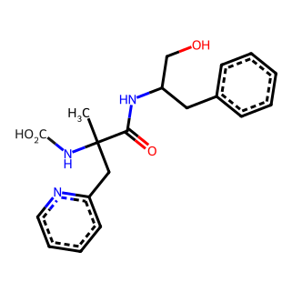 CC(Cc1ccccn1)(NC(=O)O)C(=O)NC(CO)Cc1ccccc1